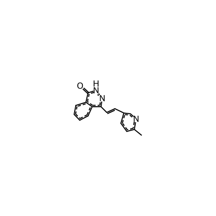 Cc1ccc(/C=C/c2n[nH]c(=O)c3ccccc23)cn1